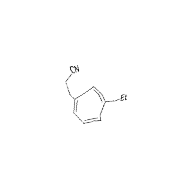 CCc1cccc(CC#N)c1